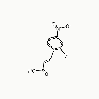 O=C(O)C=Cc1ccc([N+](=O)[O-])cc1F